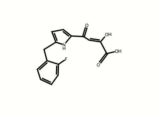 O=C(O)C(O)=CC(=O)c1ccc(Cc2ccccc2F)[nH]1